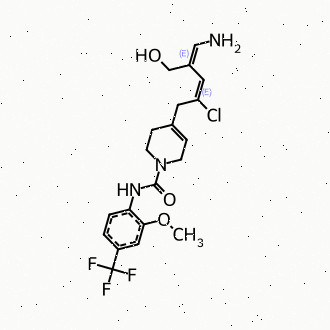 COc1cc(C(F)(F)F)ccc1NC(=O)N1CC=C(C/C(Cl)=C\C(=C/N)CO)CC1